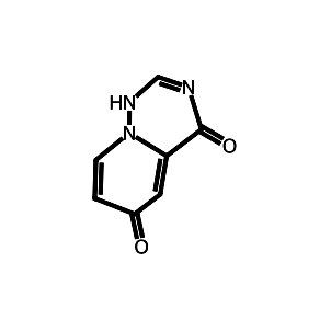 O=c1ccn2[nH]cnc(=O)c2c1